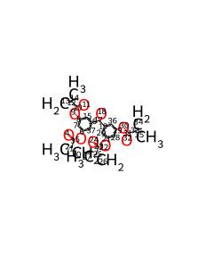 C=C(C)C(=O)Oc1cc(OC(=O)C(=C)C)cc(C(=O)c2cc(OC(=O)C(=C)C)cc(OC(=O)C(=C)C)c2)c1